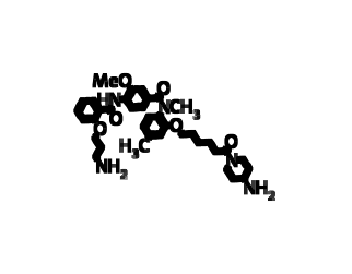 COc1cc(C(=O)N(C)c2ccc(C)cc2OCCCCCC(=O)N2CCC(N)CC2)ccc1NC(=O)c1ccccc1OCCCN